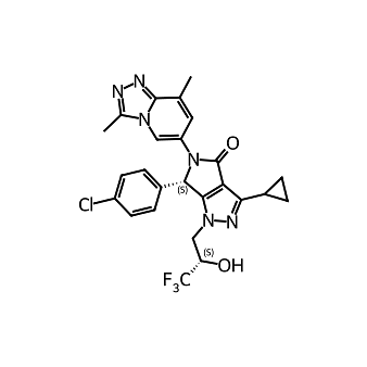 Cc1cc(N2C(=O)c3c(C4CC4)nn(C[C@H](O)C(F)(F)F)c3[C@@H]2c2ccc(Cl)cc2)cn2c(C)nnc12